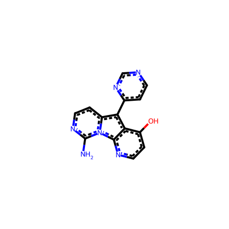 Nc1nccc2c(-c3ccncn3)c3c(O)ccnc3n12